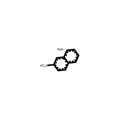 O=S(=O)(O)c1ccc2ccccc2c1.[NaH]